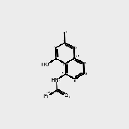 Cc1cc(O)c2c(NC(=O)C(C)C)cccc2c1